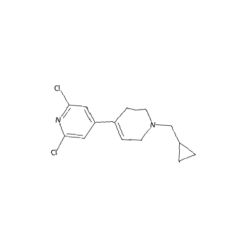 Clc1cc(C2=CCN(CC3CC3)CC2)cc(Cl)n1